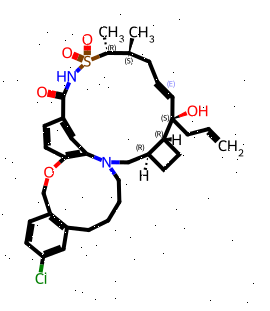 C=CC[C@@]1(O)/C=C/C[C@H](C)[C@@H](C)S(=O)(=O)NC(=O)c2ccc3c(c2)N(CCCCc2cc(Cl)ccc2CO3)C[C@@H]2CC[C@H]21